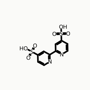 O=S(=O)(O)c1ccnc(-c2cc(S(=O)(=O)O)ccn2)c1